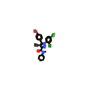 CCc1c(C(=O)N(C)C2CCCCC2)nn(-c2ccc(Cl)cc2Cl)c1-c1ccc(Br)cc1